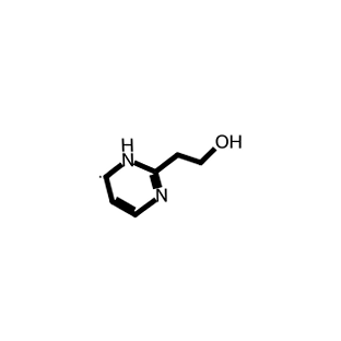 OCCC1=NC=C[CH]N1